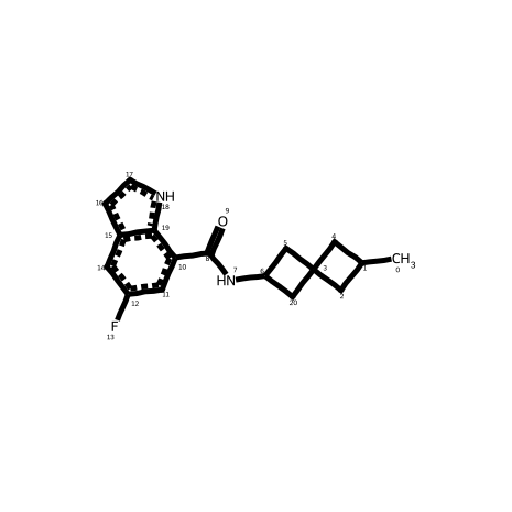 CC1CC2(C1)CC(NC(=O)c1cc(F)cc3cc[nH]c13)C2